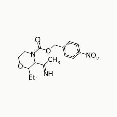 C[CH]C1OCCN(C(=O)OCc2ccc([N+](=O)[O-])cc2)C1C(C)=N